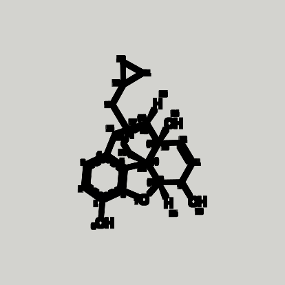 Oc1ccc2c3c1O[C@H]1C(O)C=C[C@@]4(O)[C@@H](C2)N(CC2CC2)CC[C@]314